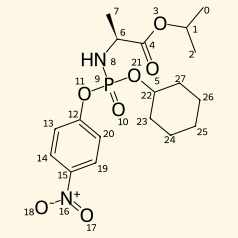 CC(C)OC(=O)[C@H](C)NP(=O)(Oc1ccc([N+](=O)[O-])cc1)OC1CCCCC1